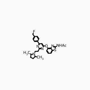 CC(=O)Nc1nc2c(Oc3cc(-c4ccc(CF)cc4)nc(CCN4C(C)CCC4C)n3)cccc2s1